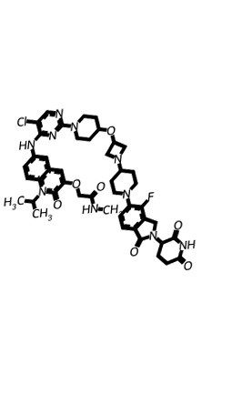 CNC(=O)COc1cc2cc(Nc3nc(N4CCC(OC5CN(C6CCN(c7ccc8c(c7F)CN(C7CCC(=O)NC7=O)C8=O)CC6)C5)CC4)ncc3Cl)ccc2n(C(C)C)c1=O